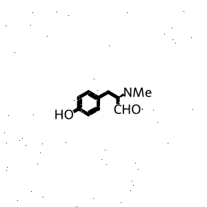 CN[C@@H]([C]=O)Cc1ccc(O)cc1